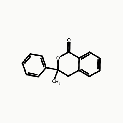 CC1(c2ccccc2)Cc2ccccc2C(=O)O1